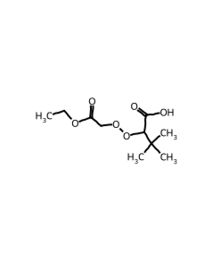 CCOC(=O)COOC(C(=O)O)C(C)(C)C